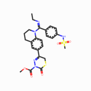 CC/N=C(/c1ccc(NS(C)(=O)=O)cc1)N1CCCc2cc(C3=NN(C(=O)OC)C(=O)SC3)ccc21